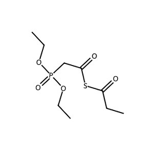 CCOP(=O)(CC(=O)SC(=O)CC)OCC